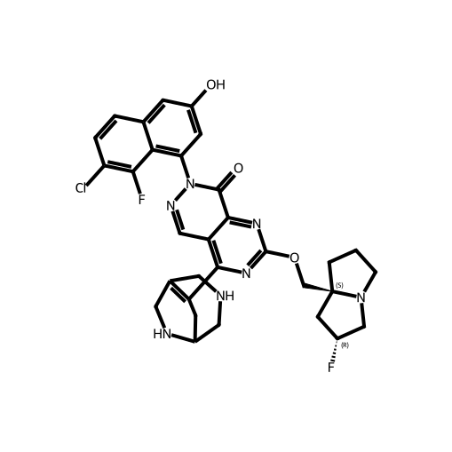 O=c1c2nc(OC[C@@]34CCCN3C[C@H](F)C4)nc(C3=C4CNCC(C3)NC4)c2cnn1-c1cc(O)cc2ccc(Cl)c(F)c12